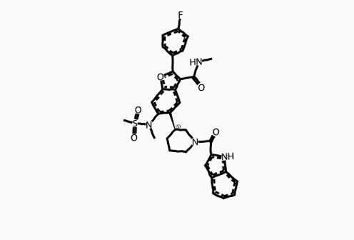 CNC(=O)c1c(-c2ccc(F)cc2)oc2cc(N(C)S(C)(=O)=O)c([C@@H]3CCCN(C(=O)c4cc5ccccc5[nH]4)C3)cc12